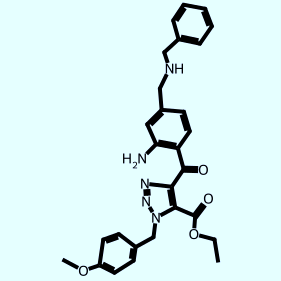 CCOC(=O)c1c(C(=O)c2ccc(CNCc3ccccc3)cc2N)nnn1Cc1ccc(OC)cc1